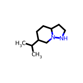 CC(C)C1CCC2CCNN2C1